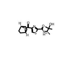 C[C@@H](NC(=O)c1nc(C(=O)N2[C@H]3CC[C@H]2CC3)cs1)C(C)(C)O